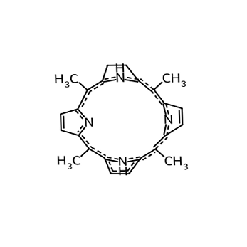 Cc1c2nc(c(C)c3ccc([nH]3)c(C)c3nc(c(C)c4[nH]c1CC4)C=C3)C=C2